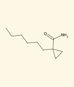 CCCCCCC1(C(N)=O)CC1